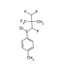 Cc1ccc([S+]([O-])C(F)C(C)(C(F)F)C(F)(F)F)cc1